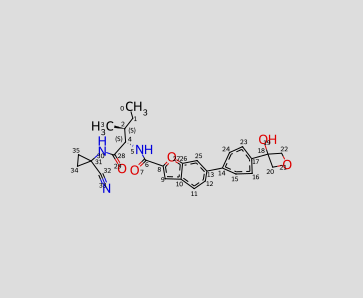 CC[C@H](C)[C@H](NC(=O)c1cc2ccc(-c3ccc(C4(O)COC4)cc3)cc2o1)C(=O)NC1(C#N)CC1